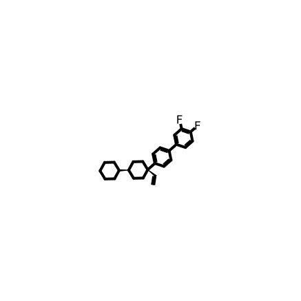 C=C[C@]1(c2ccc(-c3ccc(F)c(F)c3)cc2)CC[C@H](C2CCCCC2)CC1